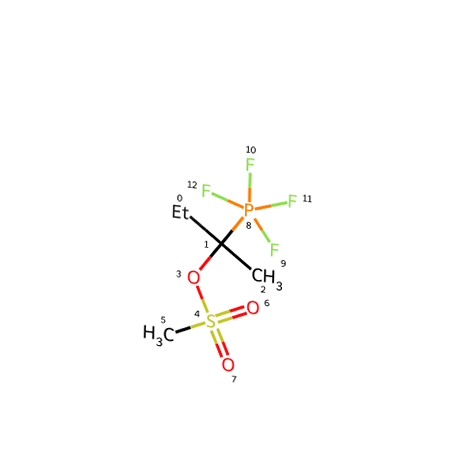 CCC(C)(OS(C)(=O)=O)P(F)(F)(F)F